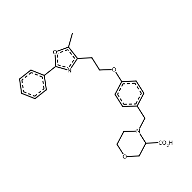 Cc1oc(-c2ccccc2)nc1CCOc1ccc(CN2CCOCC2C(=O)O)cc1